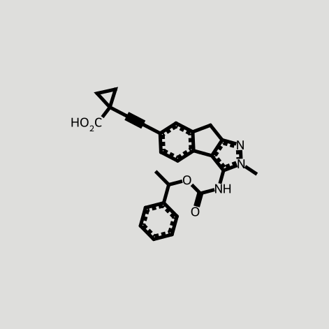 CC(OC(=O)Nc1c2c(nn1C)Cc1cc(C#CC3(C(=O)O)CC3)ccc1-2)c1ccccc1